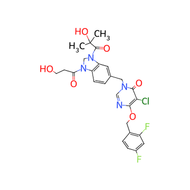 CC(C)(O)C(=O)N1CN(C(=O)CCO)c2ccc(Cn3cnc(OCc4ccc(F)cc4F)c(Cl)c3=O)cc21